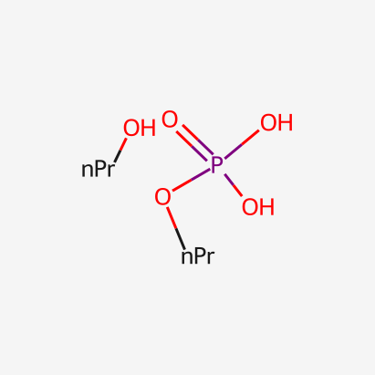 CCCO.CCCOP(=O)(O)O